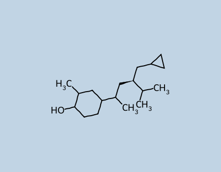 CC1CC(C(C)C[C@@H](CC2CC2)C(C)C)CCC1O